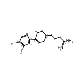 N=C(N)CCCN1CC=C(c2ccc(F)c(F)c2)CC1